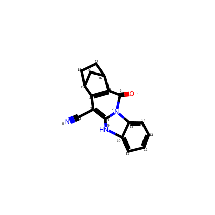 N#Cc1c2c(c(=O)n3c1[nH]c1ccccc13)C1CCC2C1